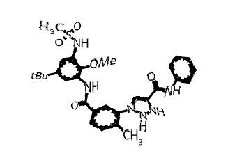 COc1c(NC(=O)c2ccc(C)c(N3C=C(C(=O)Nc4ccccc4)NN3)c2)cc(C(C)(C)C)cc1NS(C)(=O)=O